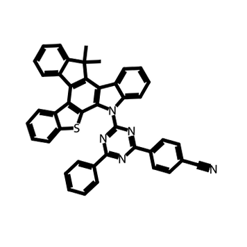 CC1(C)c2ccccc2-c2c1c1c3ccccc3n(-c3nc(-c4ccccc4)nc(-c4ccc(C#N)cc4)n3)c1c1sc3ccccc3c21